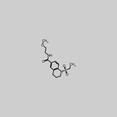 CCS(=O)(=O)N1CCCc2cc(C(=O)NCCOC)ccc21